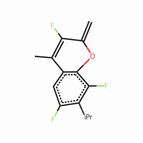 C=C1Oc2c(cc(F)c(C(C)C)c2F)C(C)=C1F